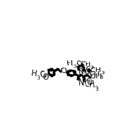 COc1ccc(CCOc2ccc(-c3cnc(C)c([C@H](OC(C)(C)C)C(=O)O)c3N3CCC(C)(C)CC3)cc2)cc1